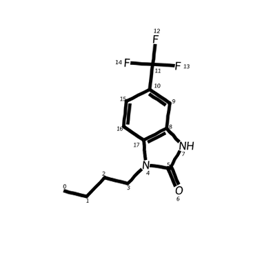 CCCCn1c(=O)[nH]c2cc(C(F)(F)F)ccc21